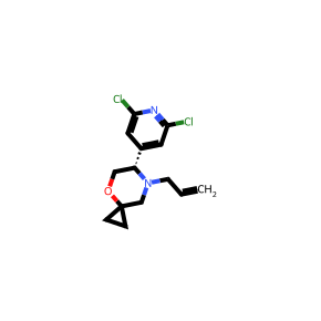 C=CCN1CC2(CC2)OC[C@@H]1c1cc(Cl)nc(Cl)c1